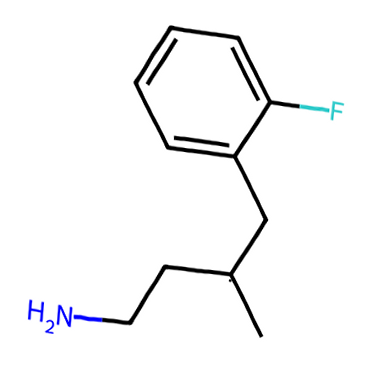 C[C](CCN)Cc1ccccc1F